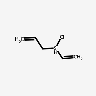 C=CC[SiH](Cl)C=C